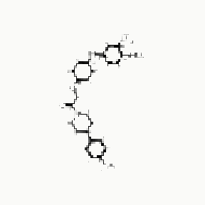 CCCc1ccc(C2CCN(C(=O)COC3CCC(Nc4ccc([N+](=O)[O-])c(C(F)(F)F)c4)CC3)CC2)cc1